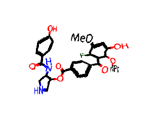 CCCOC1C(C(=O)c2ccc(C(=O)OC3CNCC3NC(=O)c3ccc(O)cc3)cc2)=C(F)C(OC)=CC1O